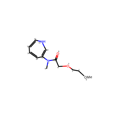 COCCOCC(=O)N(C)C1=CNC=CC=C1